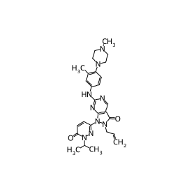 C=CCn1c(=O)c2cnc(Nc3ccc(N4CCN(C)CC4)c(C)c3)nc2n1-c1ccc(=O)n(C(C)C)n1